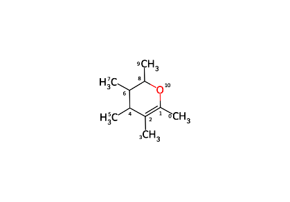 CC1=C(C)C(C)C(C)C(C)O1